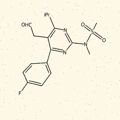 CC(C)c1nc(N(C)S(C)(=O)=O)nc(-c2ccc(F)cc2)c1CC=O